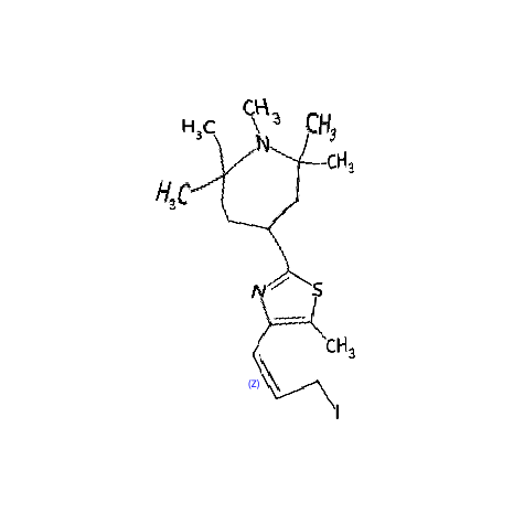 Cc1sc(C2CC(C)(C)N(C)C(C)(C)C2)nc1/C=C\CI